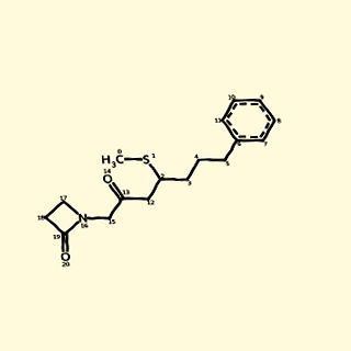 CSC(CCCc1ccccc1)CC(=O)CN1CCC1=O